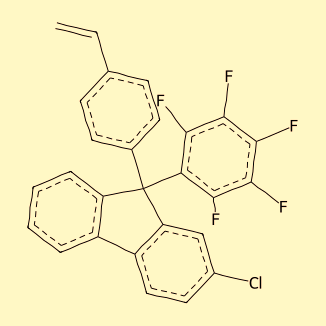 C=Cc1ccc(C2(c3c(F)c(F)c(F)c(F)c3F)c3ccccc3-c3ccc(Cl)cc32)cc1